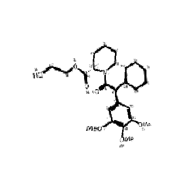 COc1cc(C(C(=O)N2CCCC[C@H]2C(=O)OCCO)C2CCCCC2)cc(OC)c1OC